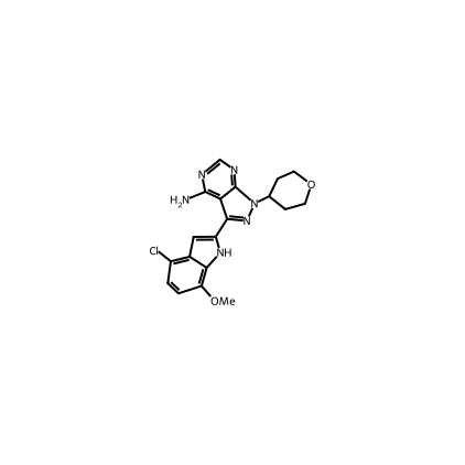 COc1ccc(Cl)c2cc(-c3nn(C4CCOCC4)c4ncnc(N)c34)[nH]c12